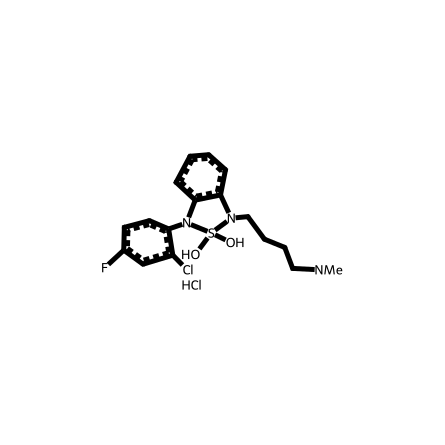 CNCCCCN1c2ccccc2N(c2ccc(F)cc2Cl)S1(O)O.Cl